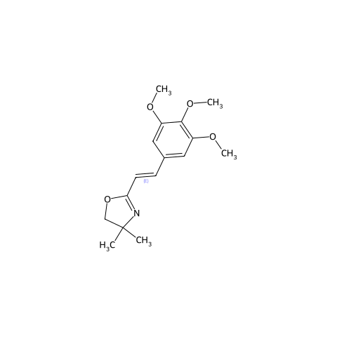 COc1cc(/C=C/C2=NC(C)(C)CO2)cc(OC)c1OC